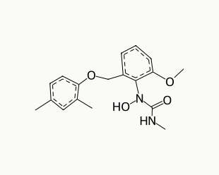 CNC(=O)N(O)c1c(COc2ccc(C)cc2C)cccc1OC